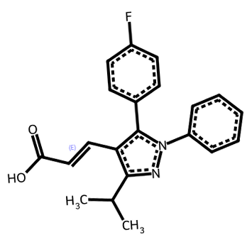 CC(C)c1nn(-c2ccccc2)c(-c2ccc(F)cc2)c1/C=C/C(=O)O